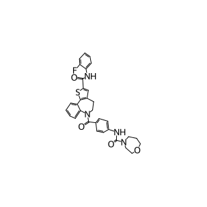 O=C(Nc1ccccc1F)c1cc2c(s1)-c1ccccc1N(C(=O)c1ccc(NC(=O)N3CCCOCC3)cc1)CC2